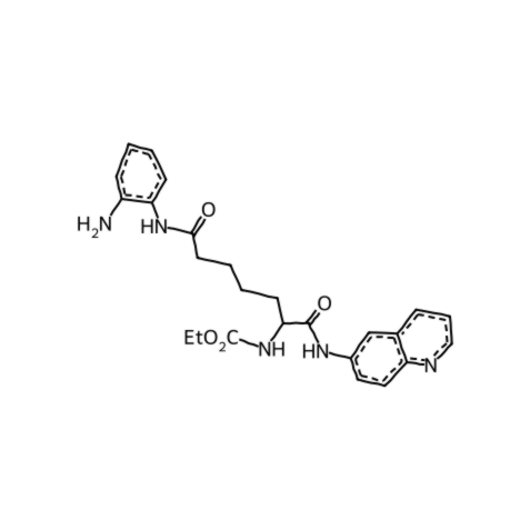 CCOC(=O)NC(CCCCC(=O)Nc1ccccc1N)C(=O)Nc1ccc2ncccc2c1